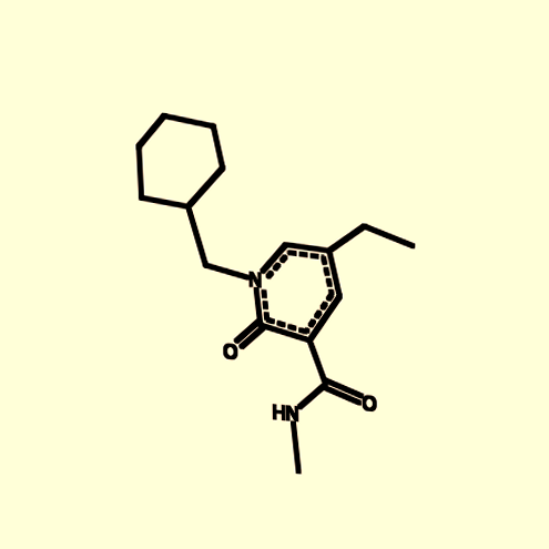 CCc1cc(C(=O)NC)c(=O)n(CC2CCCCC2)c1